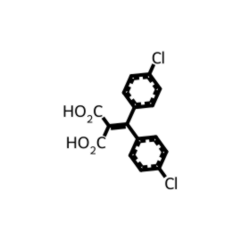 O=C(O)C(C(=O)O)=C(c1ccc(Cl)cc1)c1ccc(Cl)cc1